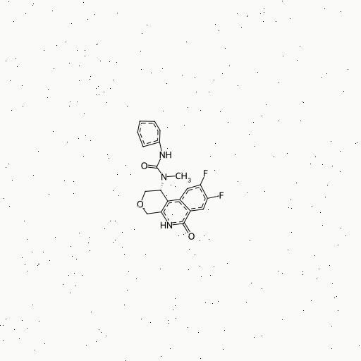 CN(C(=O)Nc1ccccc1)[C@H]1COCc2[nH]c(=O)c3cc(F)c(F)cc3c21